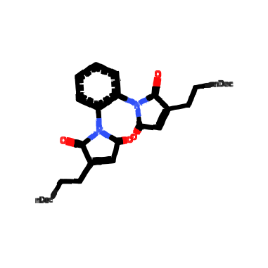 CCCCCCCCCCCCC1=CC(=O)N(c2ccccc2N2C(=O)C=C(CCCCCCCCCCCC)C2=O)C1=O